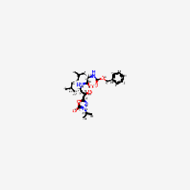 CC(C)C[C@H](NC(=O)OCc1ccccc1)C(=O)N[C@@H](CC(C)C)C(=O)c1nn(C(C)C)c(=O)o1